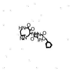 CC(C)C(NC(=O)OCc1ccccc1)C(=O)NC1Cn2cnc(c2)CCNC(=O)C1=O